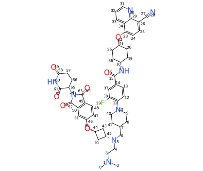 CN(C)CCN(CC1CCN(c2ccc(C(=O)N[C@H]3CC[C@H](Oc4ccc(C#N)c5ncccc45)CC3)cc2F)CC1)[C@H]1C[C@H](Oc2ccc3c(c2)C(=O)N(C2CCC(=O)NC2=O)C3=O)C1